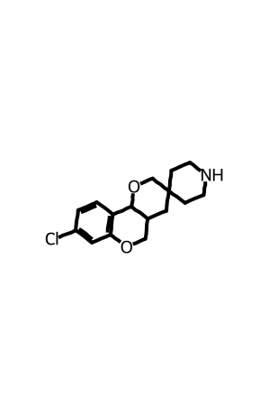 Clc1ccc2c(c1)OCC1CC3(CCNCC3)COC21